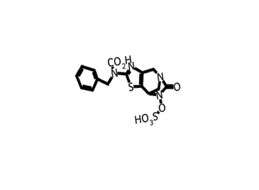 O=C(O)N(Cc1ccccc1)c1nc2c(s1)C1CN(C2)C(=O)N1OS(=O)(=O)O